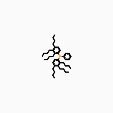 CCCCc1ccc(P(c2ccccc2)c2ccc(CCCC)c(CCCC)c2CCCC)c(CCCC)c1CCCC